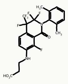 Cc1cccc(C)c1N1C(=O)c2c(ccc(NCCC(=O)O)c2F)C(F)(C(F)(F)F)C1(F)F